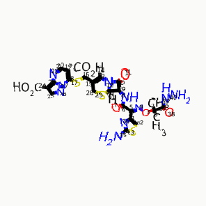 CC(C)(ON=C(C(=O)NC1C(=O)N2C(C(=O)O)=C(CSc3ccnc4c(C(=O)O)cnn34)CS[C@@H]12)c1csc(N)n1)C(=O)NN